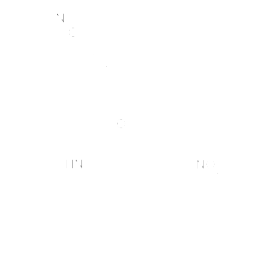 O=C(CC1CN2CCC1CC2)Nc1ccc2cccc([N+](=O)[O-])c2c1